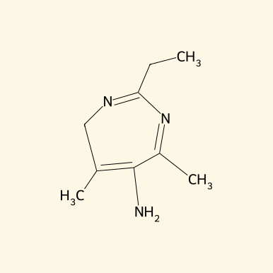 CCC1=NCC(C)=C(N)C(C)=N1